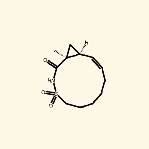 C[C@]12C[C@H]1/C=C\CCCCCS(=O)(=O)NC2=O